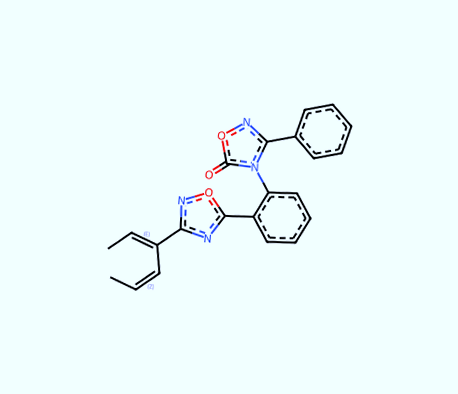 C/C=C\C(=C/C)c1noc(-c2ccccc2-n2c(-c3ccccc3)noc2=O)n1